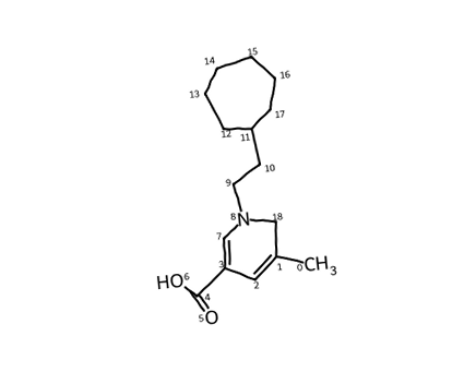 CC1=CC(C(=O)O)=CN(CCC2CCCCCC2)C1